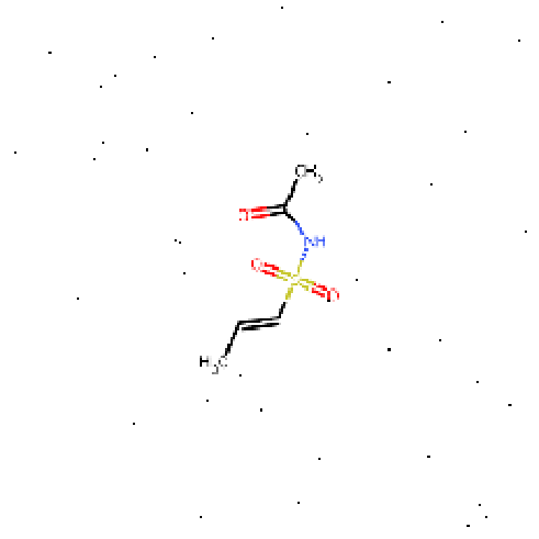 CC=CS(=O)(=O)NC(C)=O